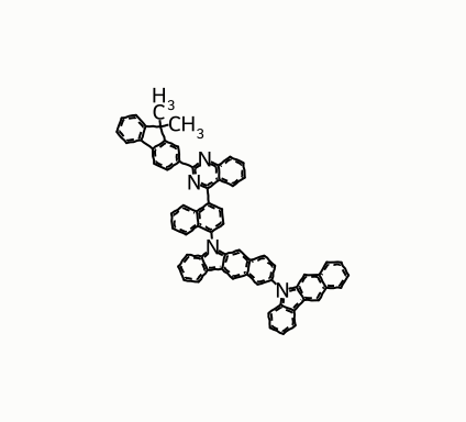 CC1(C)c2ccccc2-c2ccc(-c3nc(-c4ccc(-n5c6ccccc6c6cc7cc(-n8c9ccccc9c9cc%10ccccc%10cc98)ccc7cc65)c5ccccc45)c4ccccc4n3)cc21